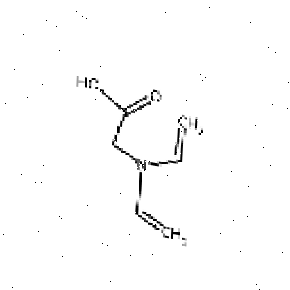 C=CN(C=C)CC(=O)O